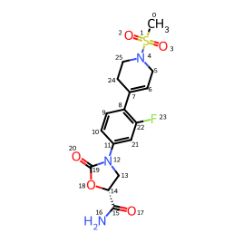 CS(=O)(=O)N1CC=C(c2ccc(N3C[C@H](C(N)=O)OC3=O)cc2F)CC1